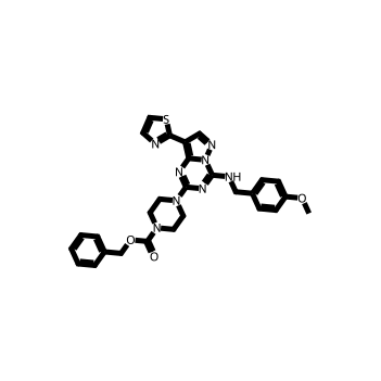 COc1ccc(CNc2nc(N3CCN(C(=O)OCc4ccccc4)CC3)nc3c(-c4nccs4)cnn23)cc1